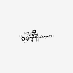 O=C(CC(NCc1ccc(-c2cc(Cl)ccc2Cl)o1)C(=O)Nc1ccccc1C(=O)O)NCCOCCOCCO